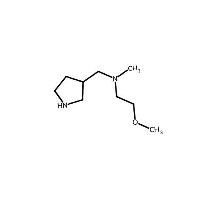 COCCN(C)CC1CCNC1